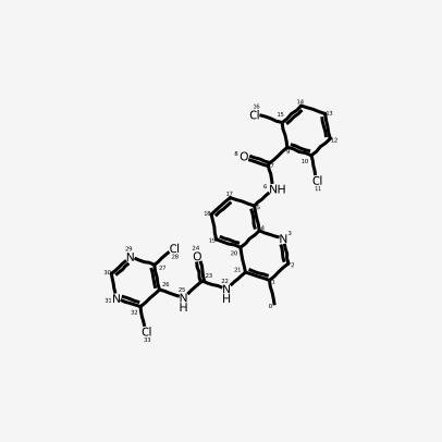 Cc1cnc2c(NC(=O)c3c(Cl)cccc3Cl)cccc2c1NC(=O)Nc1c(Cl)ncnc1Cl